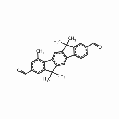 Cc1cc(C=O)cc2c1-c1cc3c(cc1C2(C)C)-c1ccc(C=O)cc1C3(C)C